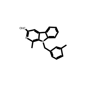 Cc1cccc(Cn2c3ccccc3c3cc(C=O)nc(C)c32)c1